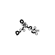 O=C(CNP(=O)(OCC1CCC(n2ccc(=O)[nH]c2=O)O1)Oc1ccccc1)OCc1ccccc1